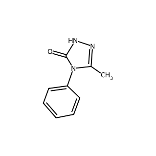 Cc1n[nH]c(=O)n1-c1ccccc1